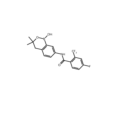 CC1(C)Cc2ccc(NC(=O)c3ccc(F)cc3C(F)(F)F)cc2B(O)O1